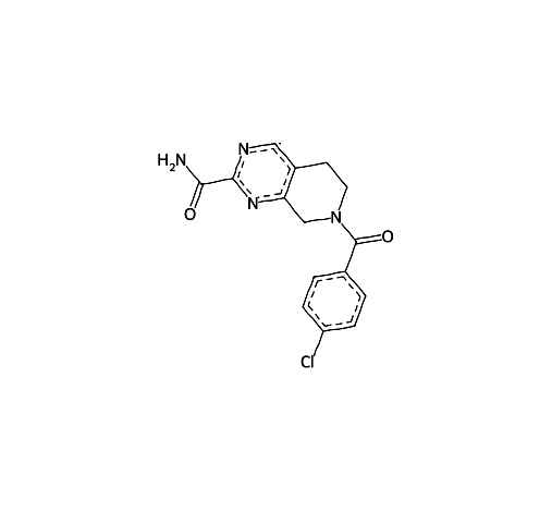 NC(=O)c1n[c]c2c(n1)CN(C(=O)c1ccc(Cl)cc1)CC2